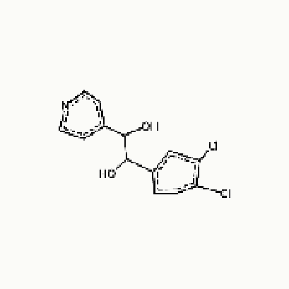 OC(c1ccncc1)C(O)c1ccc(Cl)c(Cl)c1